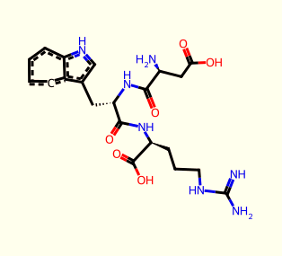 N=C(N)NCCC[C@H](NC(=O)[C@H](Cc1c[nH]c2ccccc12)NC(=O)[C@@H](N)CC(=O)O)C(=O)O